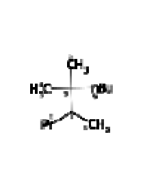 [CH2]C(C)C(C)C(C)(C)CCCC